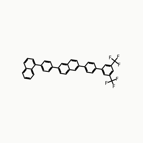 FC(F)(F)c1cc(-c2ccc(-c3ccc4cc(-c5ccc(-c6cccc7ccccc67)cc5)ccc4c3)cc2)cc(C(F)(F)F)c1